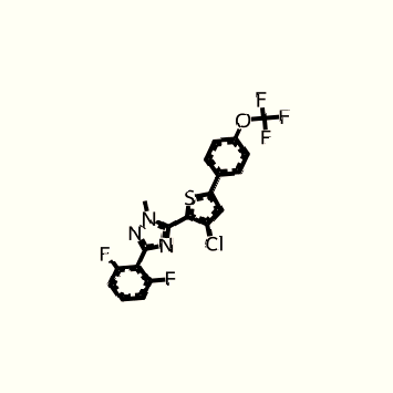 Cn1nc(-c2c(F)cccc2F)nc1-c1sc(-c2ccc(OC(F)(F)F)cc2)cc1Cl